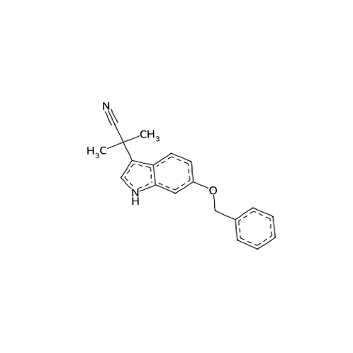 CC(C)(C#N)c1c[nH]c2cc(OCc3ccccc3)ccc12